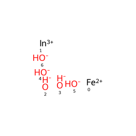 [Fe+2].[In+3].[OH-].[OH-].[OH-].[OH-].[OH-]